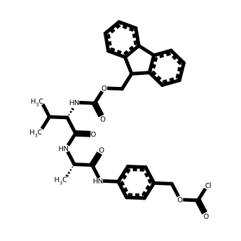 CC(C)[C@H](NC(=O)OCC1c2ccccc2-c2ccccc21)C(=O)N[C@@H](C)C(=O)Nc1ccc(COC(=O)Cl)cc1